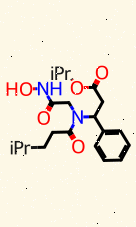 CC(C)CCC(=O)N(CC(=O)NO)C(CC(=O)OC(C)C)c1ccccc1